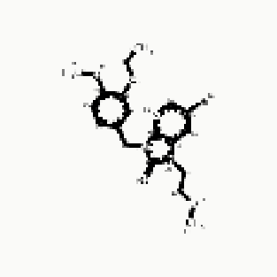 CCOc1cc(Cn2c(=O)n(CCOC)c3cc(Br)cnc32)ccc1OC